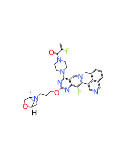 C=C(F)C(=O)N1CCN(c2nc(OCCCN3C[C@@H]4C[C@@]3(C)CO4)nc3c(F)c(-c4cncc5cccc(C)c45)ncc23)CC1